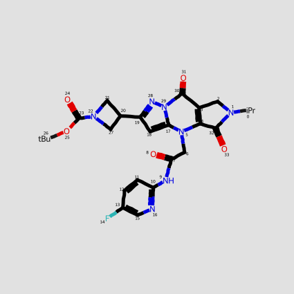 CC(C)N1Cc2c(n(CC(=O)Nc3ccc(F)cn3)c3cc(C4CN(C(=O)OC(C)(C)C)C4)nn3c2=O)C1=O